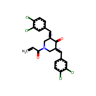 C=CC(=O)N1C/C(=C\c2ccc(Cl)c(Cl)c2)C(=O)/C(=C/c2ccc(Cl)c(Cl)c2)C1